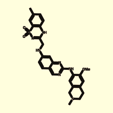 COc1cc2c(cc1Nc1ncc3ccc(NCC4=NS(=O)(=O)c5cc(C)ccc5N4)cc3n1)CN(C)CC2